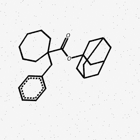 O=C(OC12CC3CC(CC(C3)C1)C2)C1(Cc2ccccc2)CCCCCC1